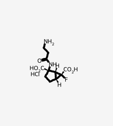 Cl.NCCC(=O)N[C@@]1(C(=O)O)CC[C@@H]2[C@H]1[C@@]2(F)C(=O)O